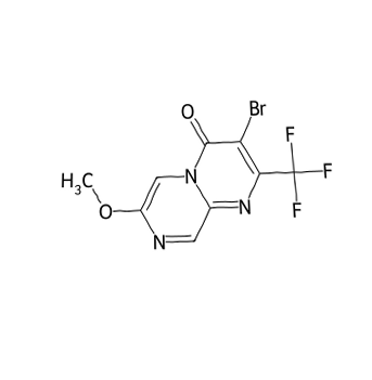 COc1cn2c(=O)c(Br)c(C(F)(F)F)nc2cn1